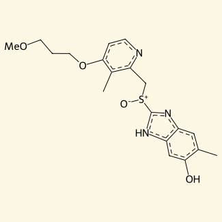 COCCCOc1ccnc(C[S+]([O-])c2nc3cc(C)c(O)cc3[nH]2)c1C